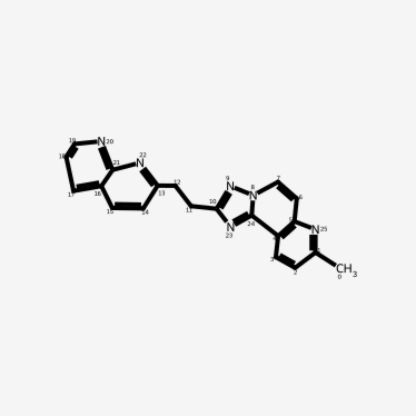 Cc1ccc2c(ccn3nc(CCc4ccc5cccnc5n4)nc23)n1